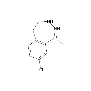 C[C@H]1NNCCc2ccc(Cl)cc21